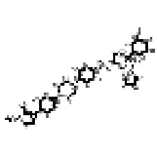 CCC(C)n1ncn(-c2ccc(N3CCN(c4ccc(OC[C@@H]5CO[C@@](Cn6cccn6)(c6cccc(Cl)c6)O5)cc4)CC3)cc2)c1=O